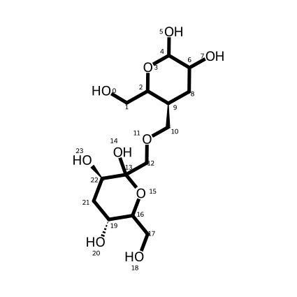 OCC1OC(O)C(O)C[C@H]1COCC1(O)OC(CO)[C@H](O)C[C@H]1O